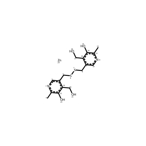 Cc1ncc(CSSCc2cnc(C)c(O)c2CO)c(CO)c1O.[Zn]